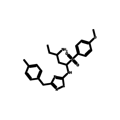 CCC(N)CC(Nc1nc(Cc2ccc(C)cc2)ns1)S(=O)(=O)c1ccc(OC)cc1